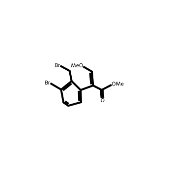 CO/C=C(/C(=O)OC)c1cccc(Br)c1CBr